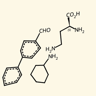 NC1CCCCC1.NCC[C@H](N)C(=O)O.O=Cc1ccc(-c2ccccc2)cc1